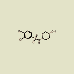 O=S(=O)(N[C@H]1CC[C@@H](O)CC1)c1ccc(Br)c(Cl)c1